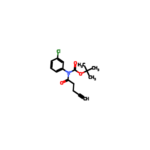 C#CCCC(=O)N(C(=O)OC(C)(C)C)c1cccc(Cl)c1